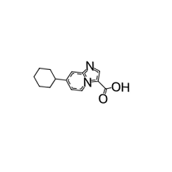 O=C(O)c1cnc2cc(C3CCCCC3)ccn12